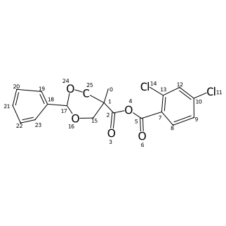 CC1(C(=O)OC(=O)c2ccc(Cl)cc2Cl)COC(c2ccccc2)OC1